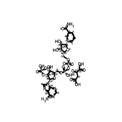 NC(=O)c1ccc[n+]([C@@H]2O[C@H](COP(=O)([O-])OP(=O)(O)OC[C@H]3O[C@@H](n4cnc5c(N)ncnc54)[C@H](OP(=O)(O)O)[C@@H]3O)[C@@H](O)[C@H]2O)c1.O=C(O)CC(O)C(=O)O